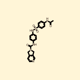 CC(=O)Nc1ccc(S(=O)(=O)Nc2ccc(NC(=O)N3Cc4ccncc4C3)cc2)cc1